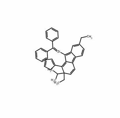 CCc1ccc2c(c1)=[C]([Zr]=[C](c1ccccc1)c1ccccc1)C1=C(C3=CC=CC3)C(CC)(C(C)C)C=CC=21